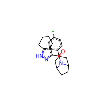 O=C(c1n[nH]c2c1CCCC2)N1C2CCC1CC(c1ccc(F)cc1)C2